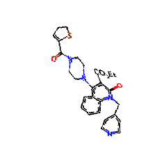 CCOC(=O)c1c(N2CCN(C(=O)C3=CCCS3)CC2)c2ccccc2n(Cc2ccncc2)c1=O